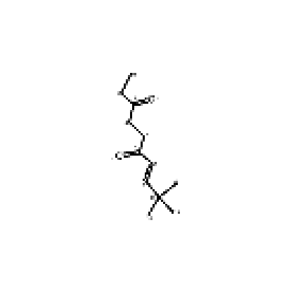 CCC(=O)CCC(=O)/C=C/C(C)(C)C